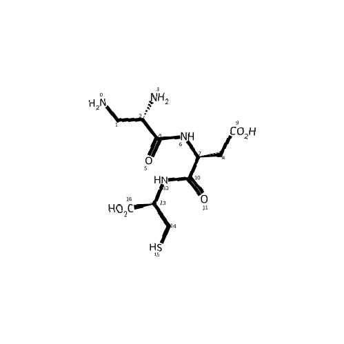 NC[C@H](N)C(=O)N[C@@H](CC(=O)O)C(=O)N[C@@H](CS)C(=O)O